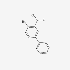 ClC(Cl)c1cc(-c2ccccc2)ccc1Br